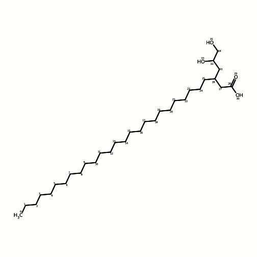 CCCCCCCCCCCCCCCCCCCCCCCCCCC(CC(=O)O)CC(O)CO